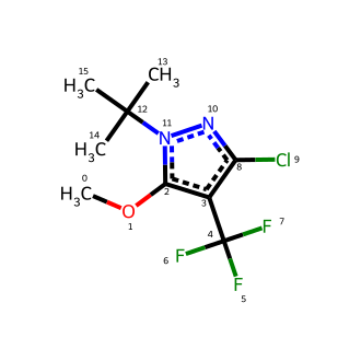 COc1c(C(F)(F)F)c(Cl)nn1C(C)(C)C